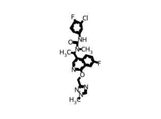 CC(c1cnc(OCc2ncn(C)n2)c2cc(F)ccc12)N(C)C(=O)Nc1ccc(F)c(Cl)c1